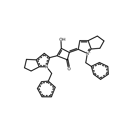 O=C1C(c2cc3c(n2Cc2ccccc2)CCC3)=C(O)/C1=C1\C=C2CCCC2=[N+]1Cc1ccccc1